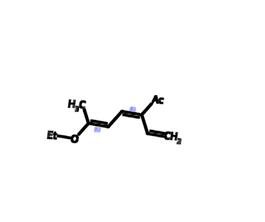 C=C/C(=C\C=C(/C)OCC)C(C)=O